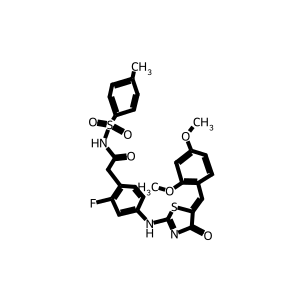 COc1ccc(/C=C2\SC(Nc3ccc(CC(=O)NS(=O)(=O)c4ccc(C)cc4)c(F)c3)=NC2=O)c(OC)c1